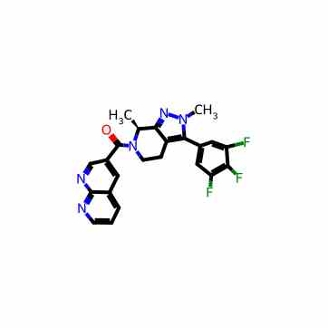 C[C@H]1c2nn(C)c(-c3cc(F)c(F)c(F)c3)c2CCN1C(=O)c1cnc2ncccc2c1